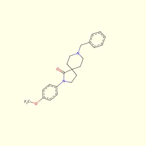 O=C1N(c2ccc(OC(F)(F)F)cc2)CCC12CCN(Cc1ccccc1)CC2